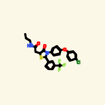 CCCNC(=O)CC1SC(c2cccc(C(F)(F)F)c2)N(c2ccc(Oc3ccc(Cl)cc3)cc2)C1=O